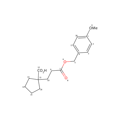 COc1ccc(COC(=O)CCC2(C(=O)O)CCCC2)cc1